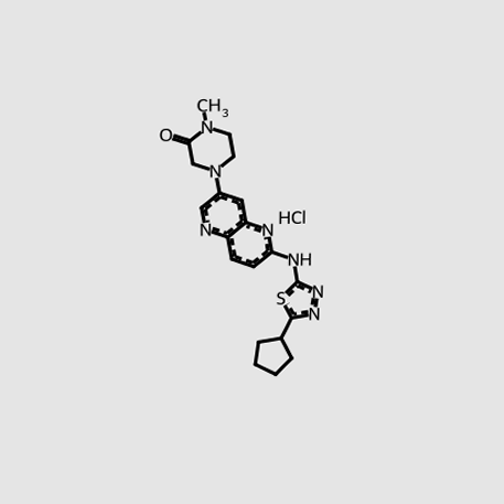 CN1CCN(c2cnc3ccc(Nc4nnc(C5CCCC5)s4)nc3c2)CC1=O.Cl